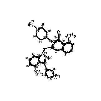 Cc1cccc2cc(Cn3nc(-c4cn[nH]c4)c4c(N)cccc43)n(C3CCN(C(C)C)CC3)c(=O)c12